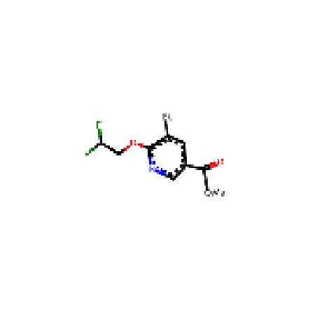 CCc1cc(C(=O)OC)cnc1OCC(F)F